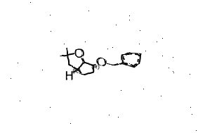 CC1(C)C[C@H]2CC[C@@H](OCc3ccccc3)C2O1